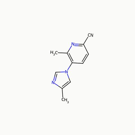 Cc1cn(-c2ccc(C#N)nc2C)cn1